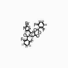 O=C(ON1C(=O)CN(C(=O)c2c(F)cccc2F)C1c1cnc(Br)s1)c1c(F)cccc1F